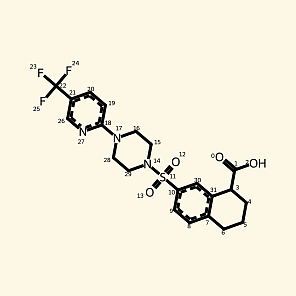 O=C(O)C1CCCc2ccc(S(=O)(=O)N3CCN(c4ccc(C(F)(F)F)cn4)CC3)cc21